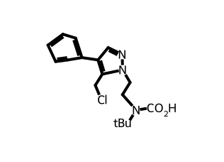 CC(C)(C)N(CCn1ncc(-c2ccccc2)c1CCl)C(=O)O